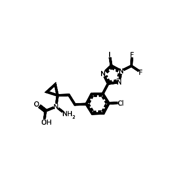 NN(C(=O)O)C1(CCc2ccc(Cl)c(-c3nc(I)n(C(F)F)n3)c2)CC1